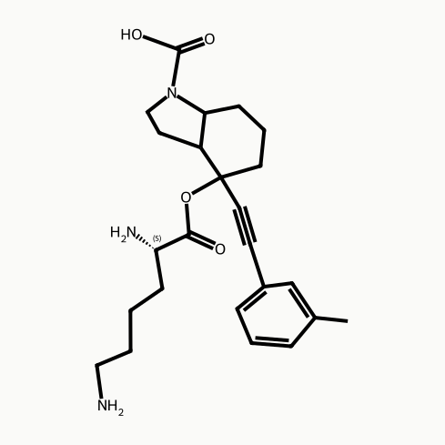 Cc1cccc(C#CC2(OC(=O)[C@@H](N)CCCCN)CCCC3C2CCN3C(=O)O)c1